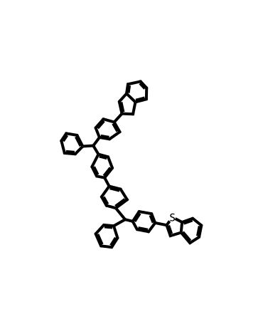 C1=C(c2ccc(C(c3ccccc3)c3ccc(-c4ccc(C(c5ccccc5)c5ccc(-c6cc7ccccc7s6)cc5)cc4)cc3)cc2)Cc2ccccc21